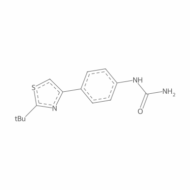 CC(C)(C)c1nc(-c2ccc(NC(N)=O)cc2)cs1